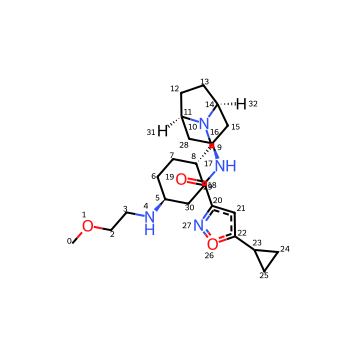 COCCN[C@H]1CC[C@H](CN2[C@@H]3CC[C@H]2C[C@@H](NC(=O)c2cc(C4CC4)on2)C3)CC1